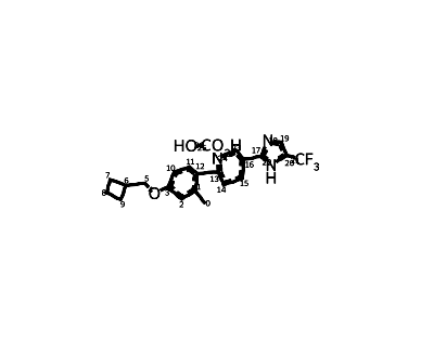 Cc1cc(OCC2CCC2)ccc1-c1ccc(-c2ncc(C(F)(F)F)[nH]2)cn1.O=C(O)O